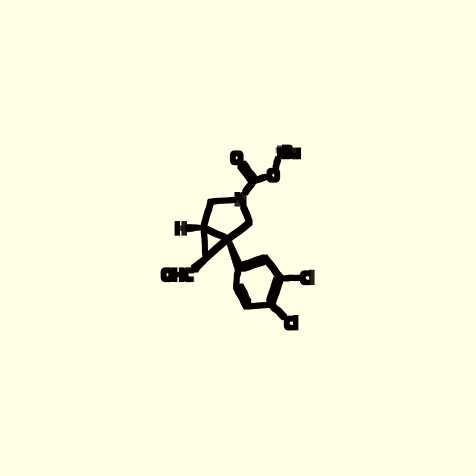 CC(C)(C)OC(=O)N1C[C@H]2[C@H](C=O)[C@@]2(c2ccc(Cl)c(Cl)c2)C1